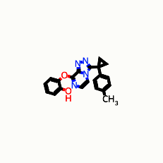 Cc1ccc(C2(c3nnc4c(Oc5ccccc5O)nccn34)CC2)cc1